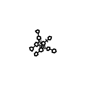 CC(C)(c1ccccc1)c1cc2c3c(c1)N(c1ccc(-c4ccccc4)cc1)c1ccc(-c4ccccc4)cc1B3c1cc(-c3ccccc3)ccc1N2c1ccc(-c2ccccc2)cc1